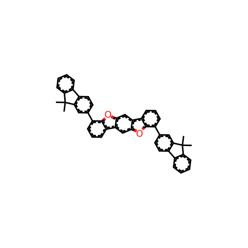 CC1(C)c2ccccc2-c2ccc(-c3cccc4c3oc3cc5c(cc34)oc3c(-c4ccc6c(c4)C(C)(C)c4ccccc4-6)cccc35)cc21